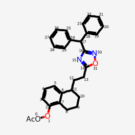 CC(=O)OOc1cccc2c1CCCC2CCc1nc(C(c2ccccc2)c2ccccc2)no1